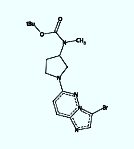 CN(C(=O)OC(C)(C)C)C1CCN(c2ccc3ncc(Br)n3n2)C1